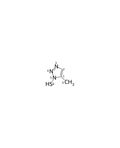 Cc1cnnn1S